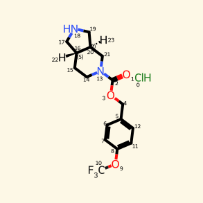 Cl.O=C(OCc1ccc(OC(F)(F)F)cc1)N1CC[C@@H]2CNC[C@H]2C1